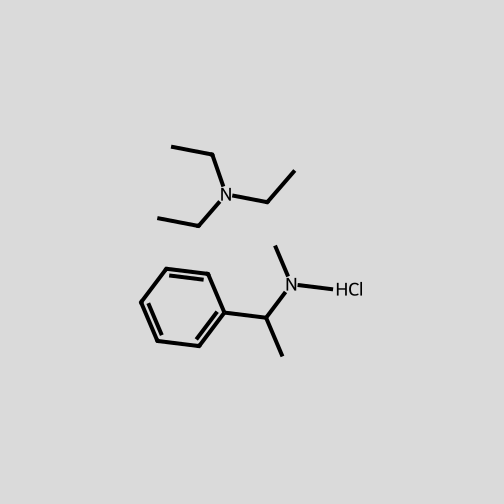 CC(c1ccccc1)N(C)C.CCN(CC)CC.Cl